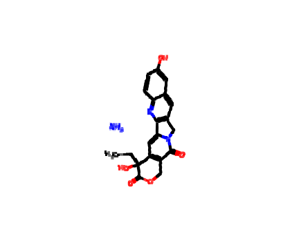 CCC1(O)C(=O)OCc2c1cc1n(c2=O)Cc2cc3cc(O)ccc3nc2-1.N